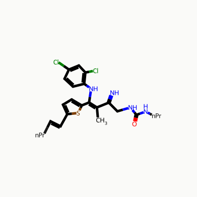 CCC/C=C/c1ccc(/C(Nc2ccc(Cl)cc2Cl)=C(\C)C(=N)CNC(=O)NCCC)s1